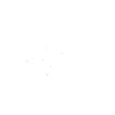 C=CCO[C@H](C)[C@H](N)C(=O)OC